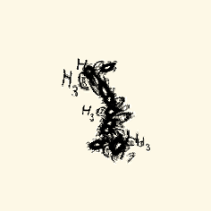 Cc1ccccc1N(c1ccc2cc3c(cc2c1)oc1cc2oc4cc5cc(N(c6ccccc6C)c6cccc(C)c6C)ccc5cc4c2c(C)c13)c1cccc(C)c1C